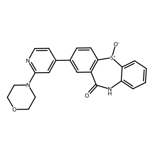 O=C1Nc2ccccc2[S+]([O-])c2ccc(-c3ccnc(N4CCOCC4)c3)cc21